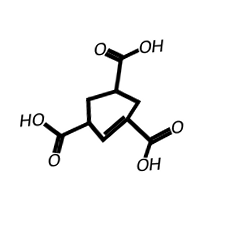 O=C(O)C1=CC(C(=O)O)CC(C(=O)O)C1